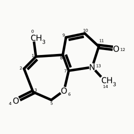 CC1=CC(=O)COc2c1ccc(=O)n2C